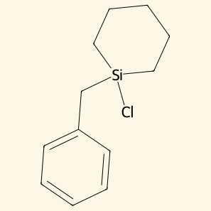 Cl[Si]1(Cc2ccccc2)CCCCC1